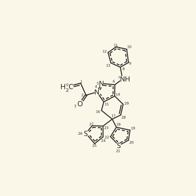 C=CC(=O)n1nc(Nc2ccccc2)c2c1CC(c1ccsc1)(c1ccsc1)C=C2